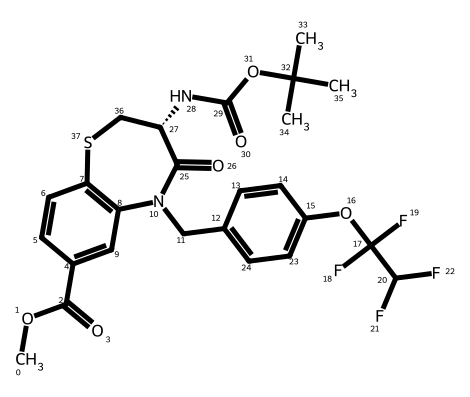 COC(=O)c1ccc2c(c1)N(Cc1ccc(OC(F)(F)C(F)F)cc1)C(=O)[C@@H](NC(=O)OC(C)(C)C)CS2